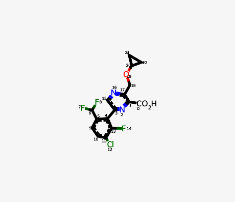 O=C(O)c1nc(-c2c(C(F)F)ccc(Cl)c2F)cnc1COC1CC1